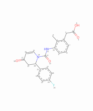 Cc1c(CC(=O)O)cccc1NC(=O)N1C=CC(=O)CC1c1ccc(F)cc1